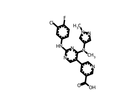 CN(c1cnn(C)c1)c1nc(Nc2ccc(F)c(Cl)c2)ncc1-c1cncc(C(=O)O)c1